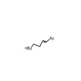 CCCCCCC=CC(C)=O